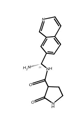 N[C@@H](NC(=O)C1CCNC1=O)c1ccc2ccncc2c1